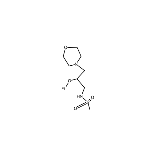 CCOC(CNS(C)(=O)=O)CN1CCOCC1